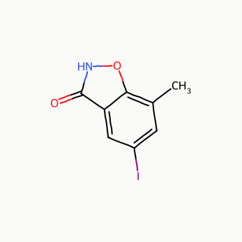 Cc1cc(I)cc2c(=O)[nH]oc12